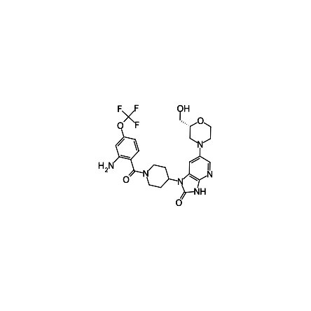 Nc1cc(OC(F)(F)F)ccc1C(=O)N1CCC(n2c(=O)[nH]c3ncc(N4CCO[C@@H](CO)C4)cc32)CC1